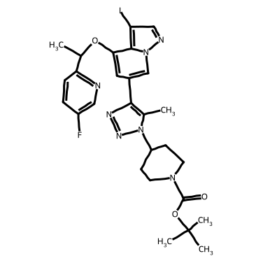 Cc1c(-c2cc(OC(C)c3ccc(F)cn3)c3c(I)cnn3c2)nnn1C1CCN(C(=O)OC(C)(C)C)CC1